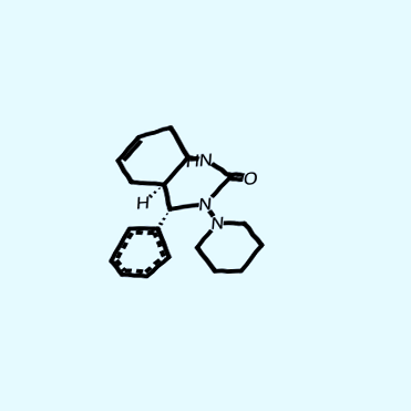 O=C1NC2CC=CC[C@@H]2[C@@H](c2ccccc2)N1N1CCCCC1